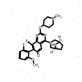 COc1cccc(F)c1-c1c(Cl)cc2c(N3C[C@H]4CC[C@@H](C3)N4)nc(OC3CCN(C)CC3)nc2c1F